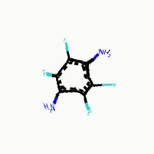 Nc1c(F)c(F)c(N)c(F)c1F